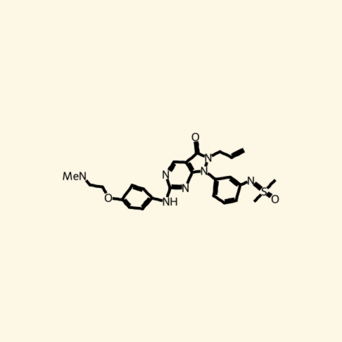 C=CCn1c(=O)c2cnc(Nc3ccc(OCCNC)cc3)nc2n1-c1cccc(N=S(C)(C)=O)c1